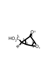 O=C1C2OC2C2C1C2(F)C(=O)O